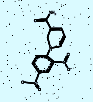 NC(=O)C1=CC=CN(c2ccc([N+](=O)[O-])cc2[N+](=O)[O-])C1